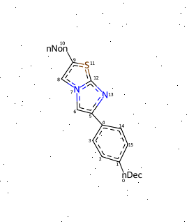 CCCCCCCCCCc1ccc(-c2cn3cc(CCCCCCCCC)sc3n2)cc1